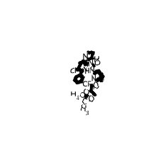 CC1(C)OCC(COc2cccc(NC(=O)N3c4nc(-c5cccc(C(F)(F)F)c5)c(Cl)cc4N4CC[C@H]3C4)n2)O1